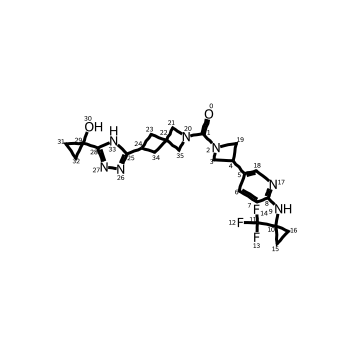 O=C(N1CC(c2ccc(NC3(C(F)(F)F)CC3)nc2)C1)N1CC2(CC(c3nnc(C4(O)CC4)[nH]3)C2)C1